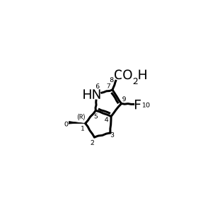 C[C@@H]1CCc2c1[nH]c(C(=O)O)c2F